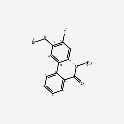 CC(C)(C)OC(=O)c1ccccc1-c1ccc(F)c(CBr)c1